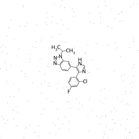 CC(C)n1nnc2ccc(-c3[nH]cnc3-c3ccc(F)cc3Cl)cc21